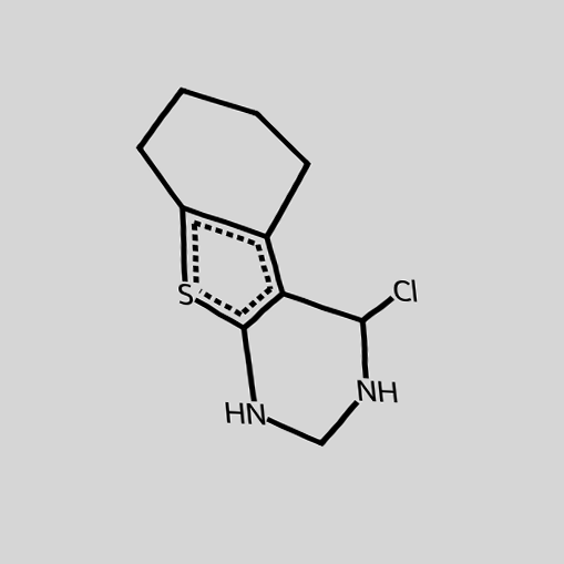 ClC1NCNc2sc3c(c21)CCCC3